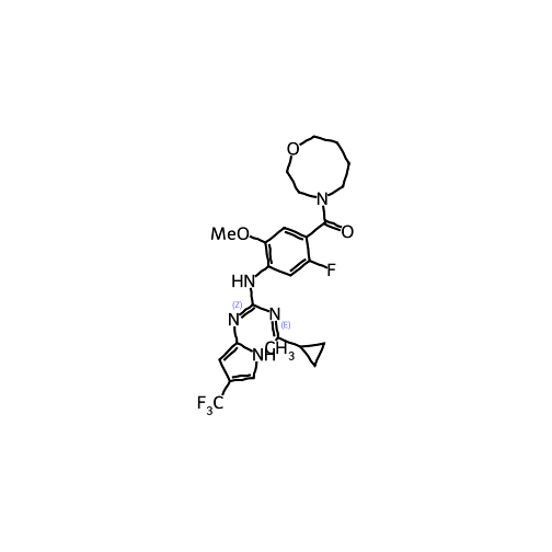 COc1cc(C(=O)N2CCCCOCC2)c(F)cc1NC(=N/c1cc(C(F)(F)F)c[nH]1)/N=C(\C)C1CC1